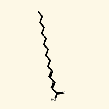 CCCCCCCCCCCC=CC=CC(=O)O